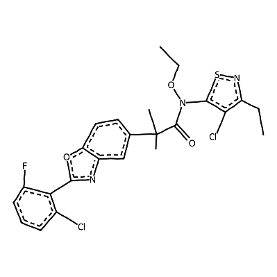 CCON(C(=O)C(C)(C)c1ccc2oc(-c3c(F)cccc3Cl)nc2c1)c1snc(CC)c1Cl